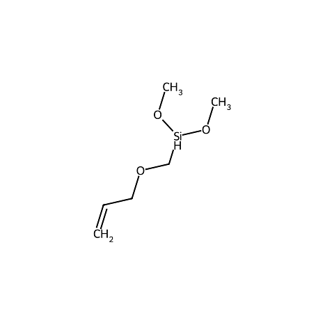 C=CCOC[SiH](OC)OC